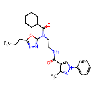 O=C(NCCN(C(=O)C1CCCCC1)c1nnc(CCC(F)(F)F)o1)c1cn(-c2ccccc2)nc1C(F)(F)F